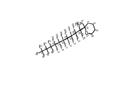 FC(F)(F)C(F)(F)C(F)(F)C(F)(F)C(F)(F)C(F)(F)C(F)(F)C(F)(F)C(F)(F)C(F)(F)C1([SiH3])CCCCO1